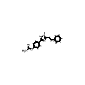 NC(=O)Oc1ccc(-c2n[nH]c([CH]Cc3ccccc3)n2)cc1